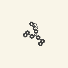 c1cc(-c2cccc3ccccc23)cc(N(c2ccc(-c3cccc4ccccc34)cc2)c2ccc3nc4oc5ccccc5c4cc3c2)c1